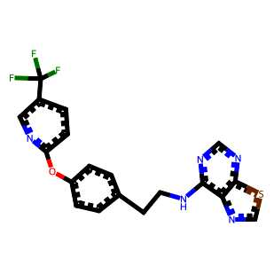 FC(F)(F)c1ccc(Oc2ccc(CCNc3ncnc4scnc34)cc2)nc1